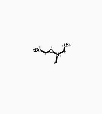 CN(CC(C)(C)C)OCC(C)(C)C